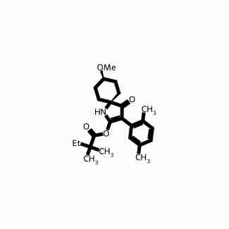 CCC(C)(C)C(=O)OC1=C(c2cc(C)ccc2C)C(=O)[C@]2(CC[C@H](OC)CC2)N1